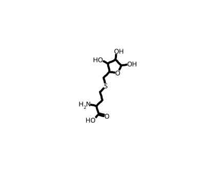 NC(CCSCC1OC(O)C(O)C1O)C(=O)O